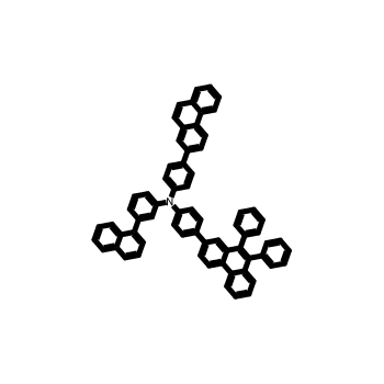 c1ccc(-c2c(-c3ccccc3)c3cc(-c4ccc(N(c5ccc(-c6ccc7c(ccc8ccccc87)c6)cc5)c5cccc(-c6cccc7ccccc67)c5)cc4)ccc3c3ccccc23)cc1